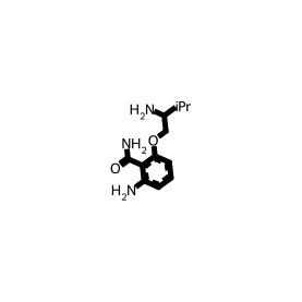 CC(C)C(N)COc1cccc(N)c1C(N)=O